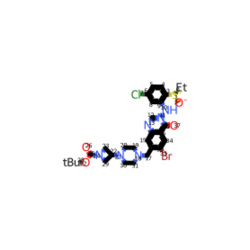 CC[S+]([O-])c1ccc(Cl)cc1Nn1cnc2cc(CN3CCN(C4CN(C(=O)OC(C)(C)C)C4)CC3)c(Br)cc2c1=O